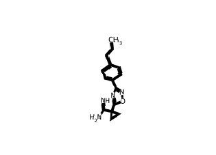 CCCc1ccc(-c2noc(C3(C(=N)N)CC3)n2)cc1